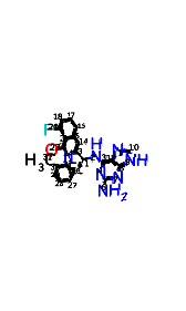 CC[C@@H](Nc1nc(N)nc2[nH]cnc12)c1cc2cccc(F)c2c(=O)n1-c1ccccc1C